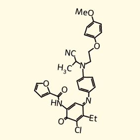 CCC1=C(Cl)C(=O)C(NC(=O)c2ccco2)=C/C1=N\c1ccc(N(CCOc2ccc(OC)cc2)C(C)C#N)cc1